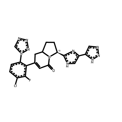 O=C1C=C(c2c(-n3cnnn3)ccc(Cl)c2F)CC2CC[C@@H](c3nc(-c4cnn[nH]4)c[nH]3)N12